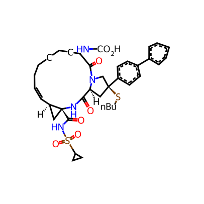 CCCCS[C@@]1(c2ccc(-c3ccccc3)cc2)C[C@H]2C(=O)N[C@]3(C(=O)NS(=O)(=O)C4CC4)C[C@H]3C=CCCCCC[C@H](NC(=O)O)C(=O)N2C1